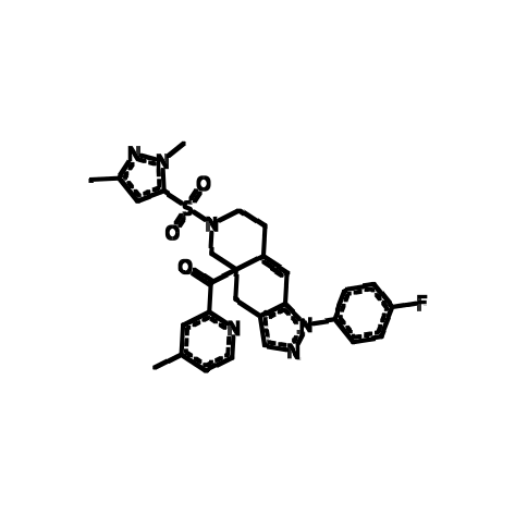 Cc1ccnc(C(=O)C23Cc4cnn(-c5ccc(F)cc5)c4C=C2CCN(S(=O)(=O)c2cc(C)nn2C)C3)c1